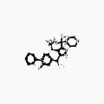 C=NC(N)(c1noc(C(C)c2ccc(-c3ccccc3)c(F)c2)c1CC(=O)O)N1CCOCC1